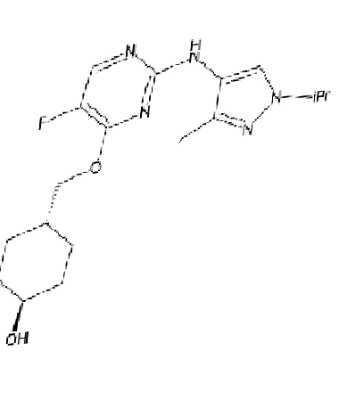 Cc1nn(C(C)C)cc1Nc1ncc(F)c(OC[C@H]2CC[C@H](O)CC2)n1